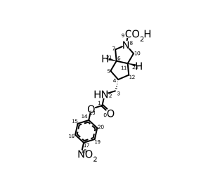 O=C(NC[C@@H]1C[C@@H]2CN(C(=O)O)C[C@@H]2C1)Oc1ccc([N+](=O)[O-])cc1